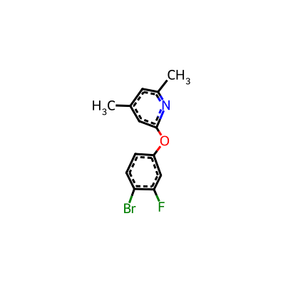 Cc1cc(C)nc(Oc2ccc(Br)c(F)c2)c1